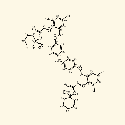 CCC1(OC(=O)COc2c(I)cc(I)cc2COc2ccc([I+]c3ccc(OCc4cc(I)cc(I)c4OCC(=O)OC4(CC)CCCCC4)cc3)cc2)CCCCC1